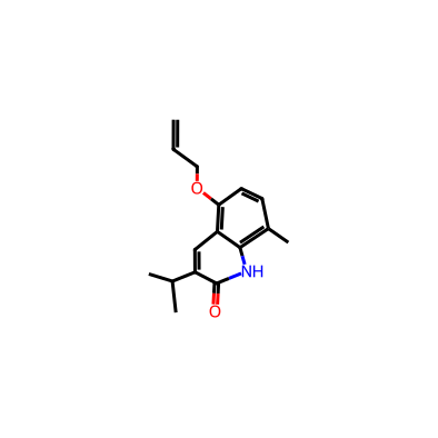 C=CCOc1ccc(C)c2[nH]c(=O)c(C(C)C)cc12